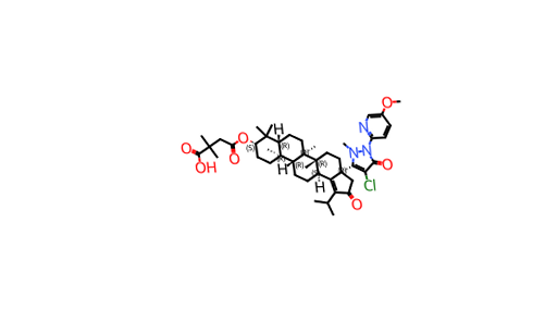 COc1ccc(-n2c(=O)c(Cl)c([C@@]34CC[C@]5(C)[C@H](CC[C@@H]6[C@@]7(C)CC[C@H](OC(=O)CC(C)(C)C(=O)O)C(C)(C)[C@@H]7CC[C@]65C)C3=C(C(C)C)C(=O)C4)n2C)nc1